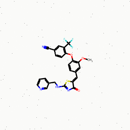 COc1cc(/C=C2\SC(NCc3cccnc3)=NC2=O)ccc1Oc1ccc(C#N)cc1C(F)(F)F